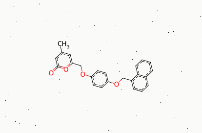 Cc1cc(COc2ccc(OCc3cccc4ccccc34)cc2)oc(=O)c1